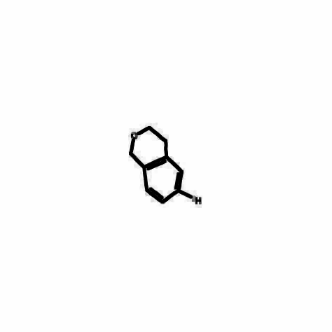 [2H]c1ccc2c(c1)CCOC2